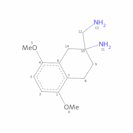 COc1ccc(OC)c2c1CCC(N)(CN)C2